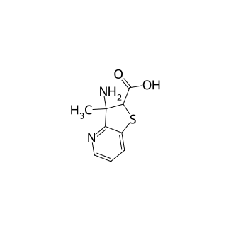 CC1(N)c2ncccc2SC1C(=O)O